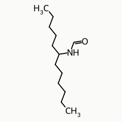 CCCCCCC(CCCCC)NC=O